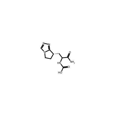 NC(=O)C(C[C@@H]1CCn2cnnc21)NC(=O)O